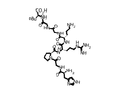 CCCC[C@H](NC(=O)CNC(=O)CNC(=O)[C@H](CCCN)NC(=O)[C@H](CCCNC(=N)N)NC(=O)[C@@H]1CCCN1C(=O)CNC(=O)[C@@H](N)Cc1c[nH]cn1)C(=O)O